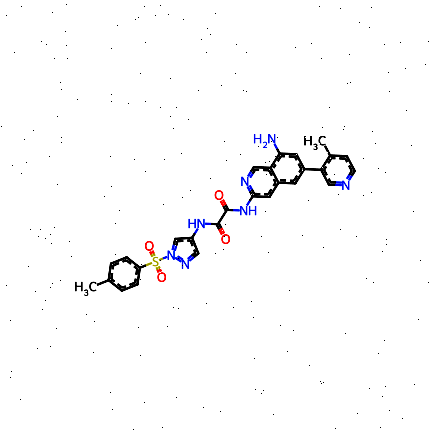 Cc1ccc(S(=O)(=O)n2cc(NC(=O)C(=O)Nc3cc4cc(-c5cnccc5C)cc(N)c4cn3)cn2)cc1